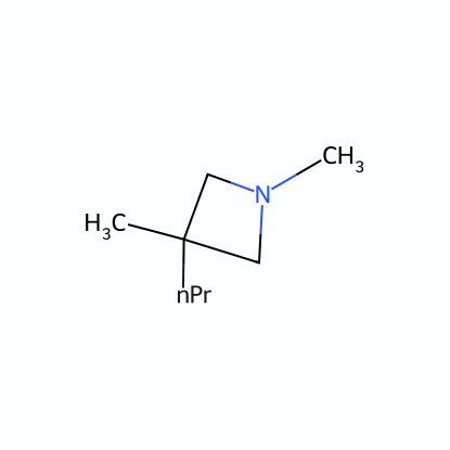 CCCC1(C)CN(C)C1